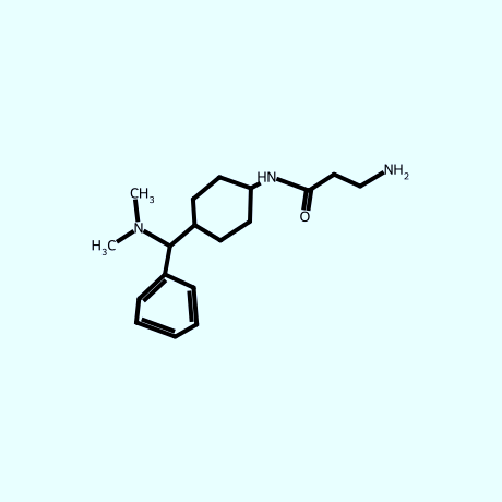 CN(C)C(c1ccccc1)C1CCC(NC(=O)CCN)CC1